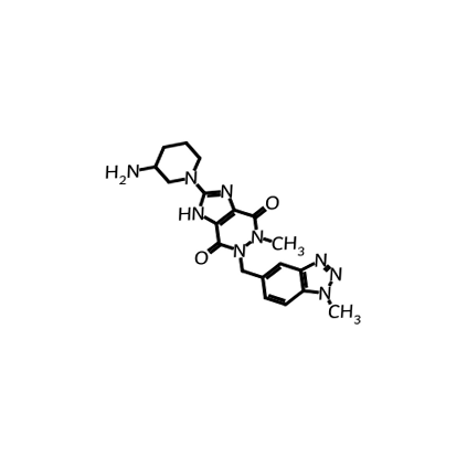 Cn1nnc2cc(Cn3c(=O)c4[nH]c(N5CCCC(N)C5)nc4c(=O)n3C)ccc21